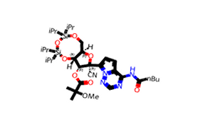 CCCCC(=O)Nc1ncnn2c([C@]3(C#N)O[C@@H]4CO[Si](C(C)C)(C(C)C)O[Si](C(C)C)(C(C)C)O[C@H]4[C@H]3OC(=O)C(C)(C)OC)ccc12